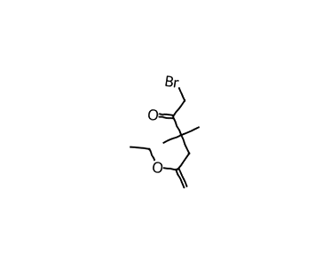 C=C(CC(C)(C)C(=O)CBr)OCC